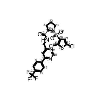 O=C(NCc1cc(-c2ccc(C(F)(F)F)cc2)ncn1)[C@@H]1CCCN1S(=O)(=O)c1cc(Cl)sc1Cl